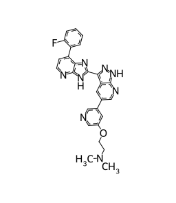 CN(C)CCOc1cncc(-c2cnc3[nH]nc(-c4nc5c(-c6ccccc6F)ccnc5[nH]4)c3c2)c1